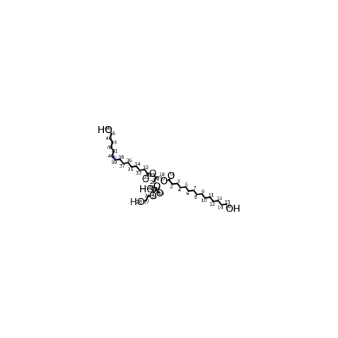 O=C(CCCCCCCCCCCCCCO)OC[C@H](COP(=O)(O)OCCO)OC(=O)CCCCCCC/C=C\CCCCCO